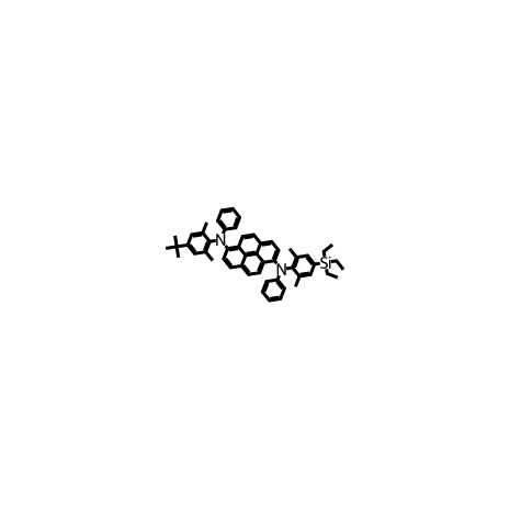 CC[Si](CC)(CC)c1cc(C)c(N(c2ccccc2)c2ccc3ccc4c(N(c5ccccc5)c5c(C)cc(C(C)(C)C)cc5C)ccc5ccc2c3c54)c(C)c1